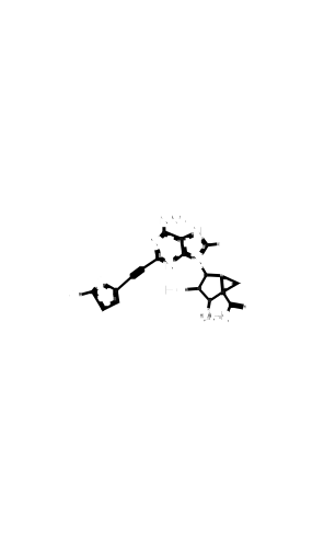 CNC(=O)C12CC1C(n1c(C(F)(F)F)nc3c(NC)nc(C#Cc4ccc(Cl)s4)nc31)C(O)C2O